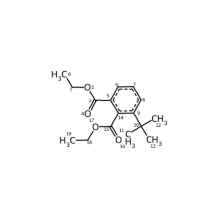 CCOC(=O)c1cccc(C(C)(C)C)c1C(=O)OCC